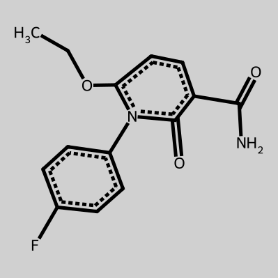 CCOc1ccc(C(N)=O)c(=O)n1-c1ccc(F)cc1